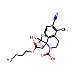 CCCCOC(=O)CC1(C(C)(C)C)c2ccc(C#N)c(C)c2CCN1C(=O)O